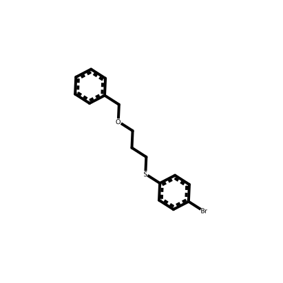 Brc1ccc(SCCCOCc2ccccc2)cc1